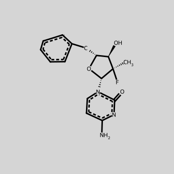 C[C@@]1(F)[C@H](O)[C@@H](Cc2[c]cccc2)O[C@H]1n1ccc(N)nc1=O